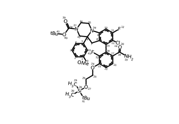 COc1cccc(C23Cc4c(cc(F)c(Cl)c4-c4c(C(N)=O)ccc(OCCO[Si](C)(C)C(C)(C)C)c4F)N2CCN(C(=O)OC(C)(C)C)C3)c1